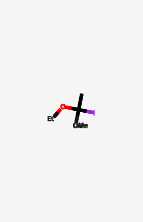 CCOC(C)(I)OC